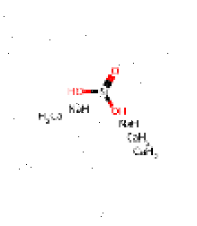 O=[Si](O)O.[CaH2].[CaH2].[CaH2].[NaH].[NaH]